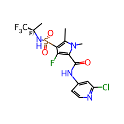 Cc1c(S(=O)(=O)N[C@H](C)C(F)(F)F)c(F)c(C(=O)Nc2ccnc(Cl)c2)n1C